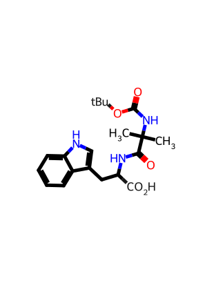 CC(C)(C)OC(=O)NC(C)(C)C(=O)NC(Cc1c[nH]c2ccccc12)C(=O)O